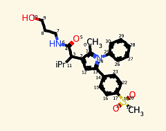 Cc1c(C(C(=O)NCCCO)C(C)C)cc(-c2ccc(S(C)(=O)=O)cc2)n1-c1ccccc1